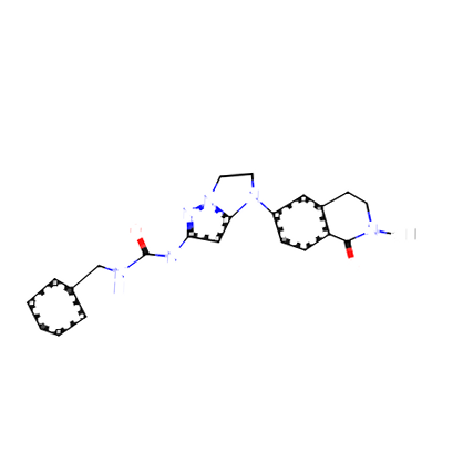 CN1CCc2cc(N3CCn4nc(NC(=O)NCc5ccccc5)cc43)ccc2C1=O